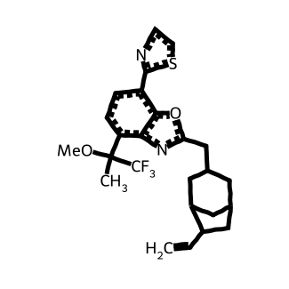 C=CC1CC2CC(Cc3nc4c(C(C)(OC)C(F)(F)F)ccc(-c5nccs5)c4o3)CC1C2